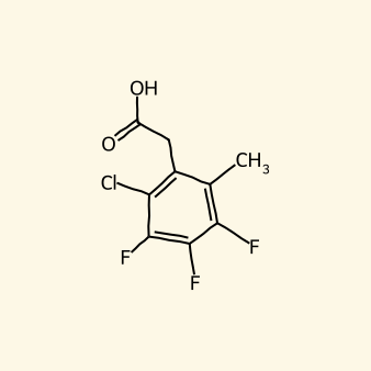 Cc1c(F)c(F)c(F)c(Cl)c1CC(=O)O